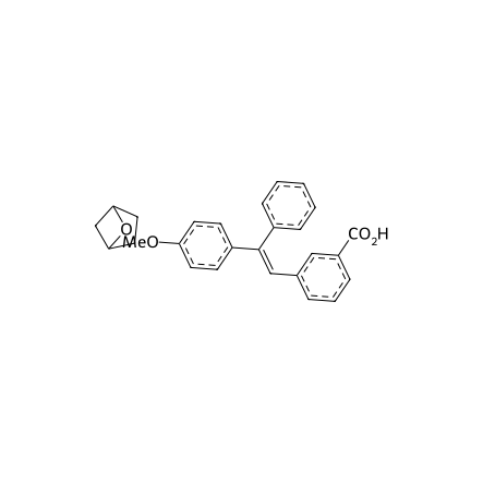 C1CC2CC1O2.COc1ccc(C(=Cc2cccc(C(=O)O)c2)c2ccccc2)cc1